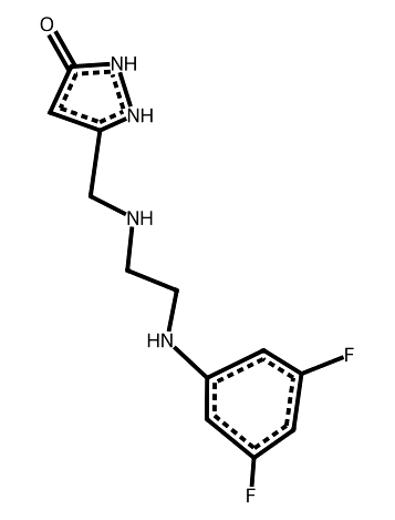 O=c1cc(CNCCNc2cc(F)cc(F)c2)[nH][nH]1